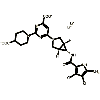 Cc1[nH]c(C(=O)N[C@@H]2[C@@H]3CN(c4cc(C(=O)[O-])nc(N5CCC(C(=O)[O-])CC5)n4)C[C@@H]32)c(Cl)c1Cl.[Li+].[Li+]